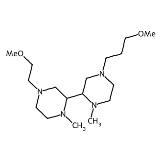 COCCCN1CCN(C)C(C2CN(CCOC)CCN2C)C1